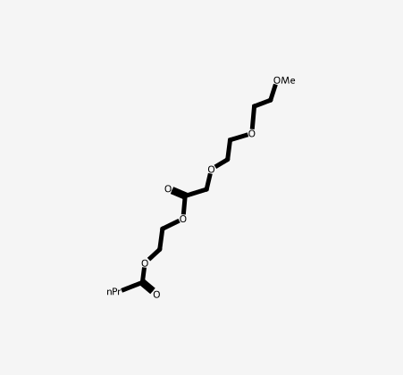 CCCC(=O)OCCOC(=O)COCCOCCOC